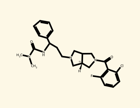 CN(C)C(=O)NC(CCN1CC2CN(C(=O)c3c(F)cccc3Cl)C[C@@H]2C1)c1ccccc1